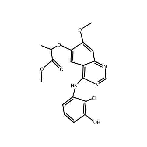 COC(=O)C(C)Oc1cc2c(Nc3cccc(O)c3Cl)ncnc2cc1OC